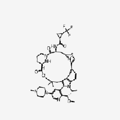 CCn1c(-c2cc(N3CCN(C)CC3)cnc2[C@H](C)OC)c2c3cc(ccc31)-c1csc(n1)C[C@H](NC(=O)[C@H]1CC1C(F)(F)F)C(=O)N1CCC[C@H](N1)C(=O)OCC(C)(C)C2